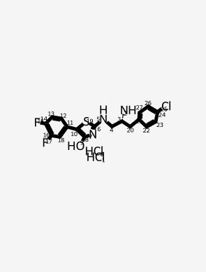 Cl.Cl.N[C@@H](CNc1nc(O)c(-c2ccc(F)c(F)c2)s1)Cc1ccc(Cl)cc1